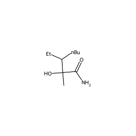 CCCCC(CC)C(C)(O)C(N)=O